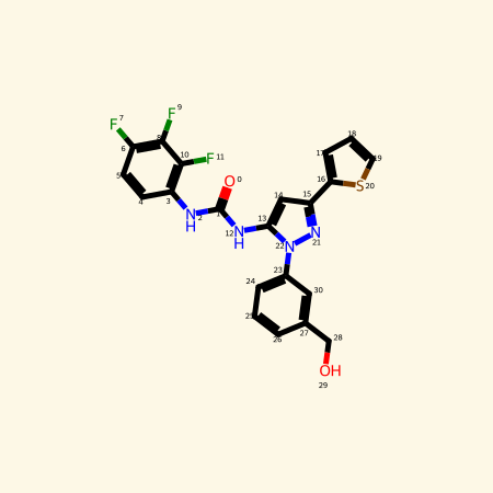 O=C(Nc1ccc(F)c(F)c1F)Nc1cc(-c2cccs2)nn1-c1cccc(CO)c1